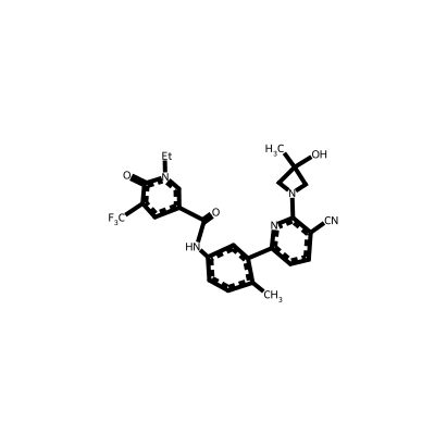 CCn1cc(C(=O)Nc2ccc(C)c(-c3ccc(C#N)c(N4CC(C)(O)C4)n3)c2)cc(C(F)(F)F)c1=O